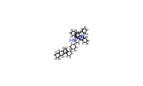 C1=C(c2ccc(-c3cccc4c3ccc3cc5ccccc5cc34)cc2)NC(c2ccccc2)NC1c1ccccc1-n1c2ccccc2c2ccccc21